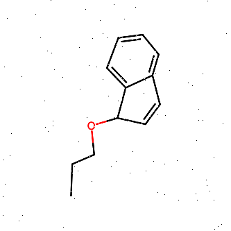 CCCO[C]1C=Cc2ccccc21